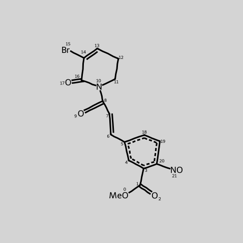 COC(=O)c1cc(/C=C/C(=O)N2CCC=C(Br)C2=O)ccc1N=O